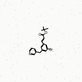 CC(C)(C)OC(=O)C=Cc1cc(Br)cc(Cc2cccnc2)c1